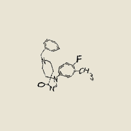 Cc1cc(N2C=NC(=O)C23CCN(Cc2ccccc2)CC3)ccc1F